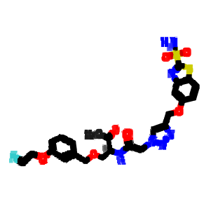 COC(=O)[C@H](COCc1cccc(OCCF)c1)NC(=O)Cn1cc(COc2ccc3sc(S(N)(=O)=O)nc3c2)nn1